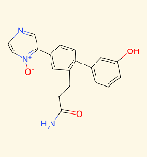 NC(=O)CCc1cc(-c2cncc[n+]2[O-])ccc1-c1cccc(O)c1